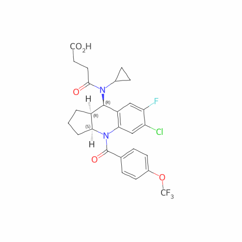 O=C(O)CCC(=O)N(C1CC1)[C@H]1c2cc(F)c(Cl)cc2N(C(=O)c2ccc(OC(F)(F)F)cc2)[C@H]2CCC[C@H]21